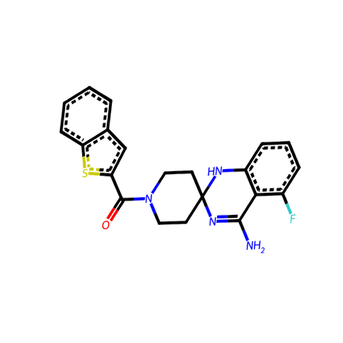 NC1=NC2(CCN(C(=O)c3cc4ccccc4s3)CC2)Nc2cccc(F)c21